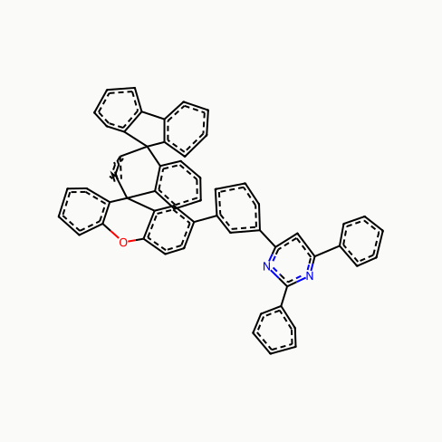 c1ccc(-c2cc(-c3cccc(-c4ccc5c(c4)C4(c6ccccc6O5)c5ccccc5C5(c6ccccc6-c6ccccc65)c5ccccc54)c3)nc(-c3ccccc3)n2)cc1